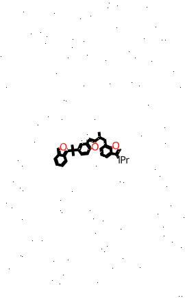 CC(C)c1coc2c(CC(C)c3cc4cc(C(C)(C)c5occ6ccccc56)ccc4o3)cccc12